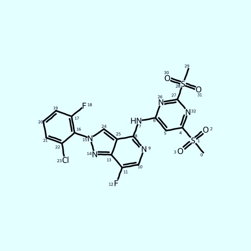 CS(=O)(=O)c1cc(Nc2ncc(F)c3nn(-c4c(F)cccc4Cl)cc23)nc(S(C)(=O)=O)n1